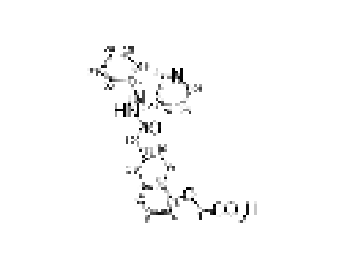 O=C(O)COc1cccc2c1CCC(CC(=O)NN(c1ccccc1)c1cccnc1)C2